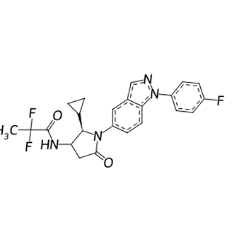 CC(F)(F)C(=O)NC1CC(=O)N(c2ccc3c(cnn3-c3ccc(F)cc3)c2)[C@@H]1C1CC1